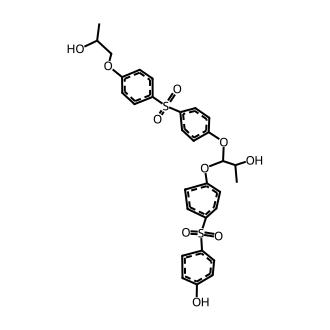 CC(O)COc1ccc(S(=O)(=O)c2ccc(OC(Oc3ccc(S(=O)(=O)c4ccc(O)cc4)cc3)C(C)O)cc2)cc1